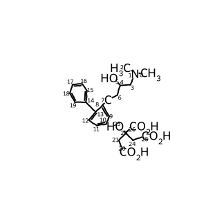 CN(C)CC(O)CCc1ccccc1-c1ccccc1.O=C(O)CC(O)(CC(=O)O)C(=O)O